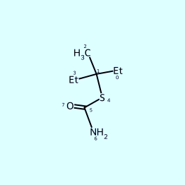 CCC(C)(CC)SC(N)=O